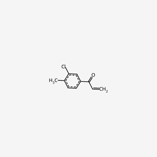 C=CC(=O)c1ccc(C)c(Cl)c1